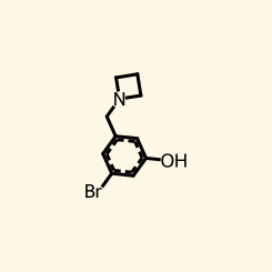 Oc1cc(Br)cc(CN2CCC2)c1